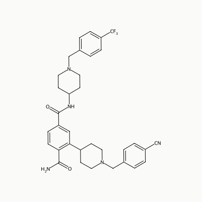 N#Cc1ccc(CN2CCC(c3cc(C(=O)NC4CCN(Cc5ccc(C(F)(F)F)cc5)CC4)ccc3C(N)=O)CC2)cc1